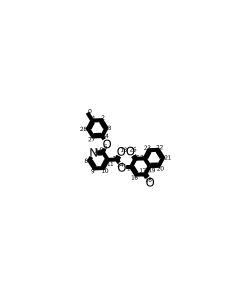 Cc1ccc(Oc2ncccc2C(=O)OC2=CC(=O)c3ccccc3C2=O)cc1